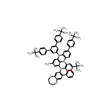 Cc1cc2c3c(c1)N(c1cc4c(cc1-c1ccccc1)OCCCO4)c1ccc(C(C)(C)C)cc1B3c1ccc(-c3ccc(C(C)(C)C)cc3)cc1N2c1cc(-c2ccc(C(C)(C)C)cc2)cc(-c2ccc(C(C)(C)C)cc2)c1